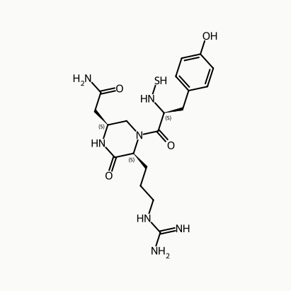 N=C(N)NCCC[C@H]1C(=O)N[C@@H](CC(N)=O)CN1C(=O)[C@H](Cc1ccc(O)cc1)NS